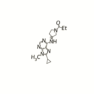 CCC(=O)N1CC[C@H](Nc2ncnc3c2nc(C2CC2)n3C)C1